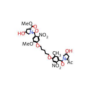 COC(=O)[C@@H]1C[C@@H](O)CN1C(=O)c1cc(OC)c(OCCCCCOc2cc([N+](=O)[O-])c(C(=O)N3C[C@H](O)C[C@H]3C(C)=O)cc2C)cc1[N+](=O)[O-]